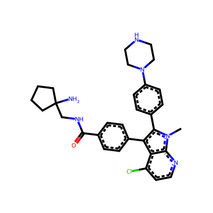 Cn1c(-c2ccc(N3CCNCC3)cc2)c(-c2ccc(C(=O)NCC3(N)CCCC3)cc2)c2c(Cl)ccnc21